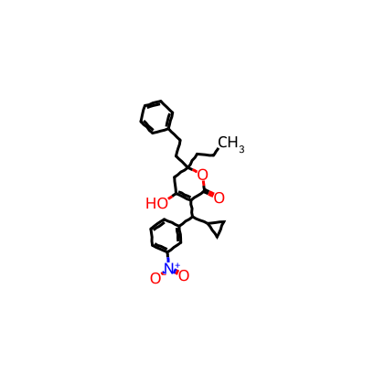 CCCC1(CCc2ccccc2)CC(O)=C(C(c2cccc([N+](=O)[O-])c2)C2CC2)C(=O)O1